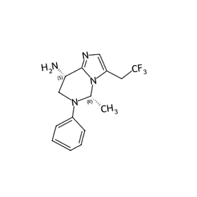 C[C@@H]1N(c2ccccc2)C[C@H](N)c2ncc(CC(F)(F)F)n21